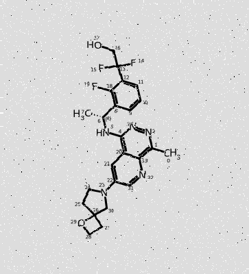 Cc1nnc(N[C@H](C)c2cccc(C(F)(F)CO)c2F)c2cc(N3CCC4(CCO4)C3)cnc12